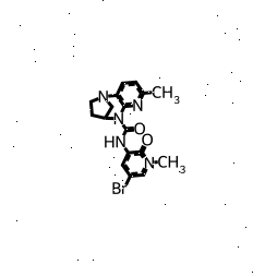 Cc1ccc2c(n1)N(C(=O)Nc1cc(Br)cn(C)c1=O)C1CCN2C1